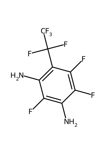 Nc1c(F)c(N)c(C(F)(F)C(F)(F)F)c(F)c1F